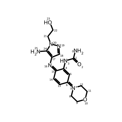 NC(=O)NC1=CC(=[N+]2CCOCC2)C=C/C1=N/c1cnn(CCO)c1N